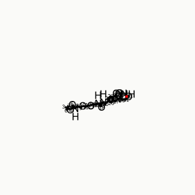 CC(C)(C)OC(=O)NCCOCCOCCNC(=O)NCc1ccc2c(c1)CN(C1CCC(=O)NC1=O)C2O